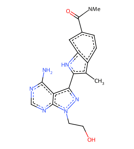 CNC(=O)c1ccc2c(C)c(-c3nn(CCO)c4ncnc(N)c34)[nH]c2c1